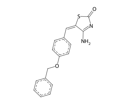 NC1=NC(=O)SC1=Cc1ccc(OCc2ccccc2)cc1